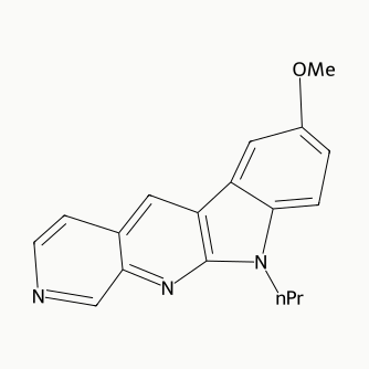 CCCn1c2ccc(OC)cc2c2cc3ccncc3nc21